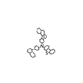 c1ccc2c(-c3ccc(N(c4ccc5c(c4)oc4ccc6ccccc6c45)c4ccc5c(c4)sc4ccccc45)cc3)cccc2c1